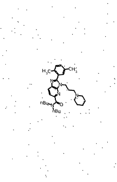 CCCCN(CCCC)C(=O)c1ccc2nc(-c3cc(C)ccc3C)n(CCCN3CCCCC3)c2n1